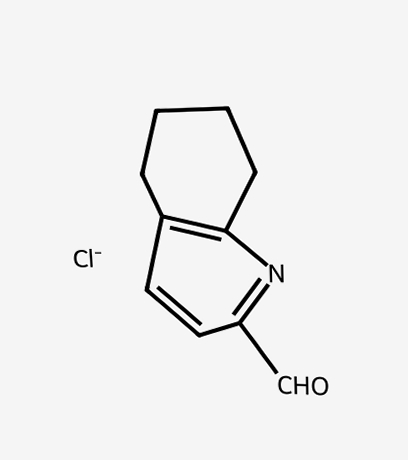 O=[C+]c1ccc2c(n1)CCCC2.[Cl-]